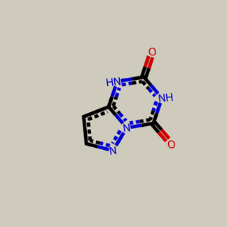 O=c1[nH]c(=O)n2nccc2[nH]1